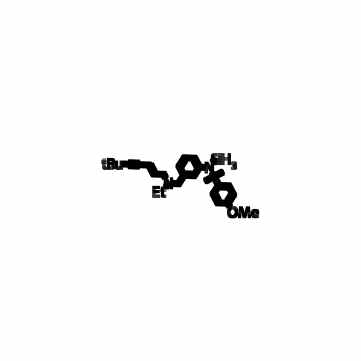 CCN(CC=CC#CC(C)(C)C)Cc1cccc(N([SiH3])C(C)(C)c2ccc(OC)cc2)c1